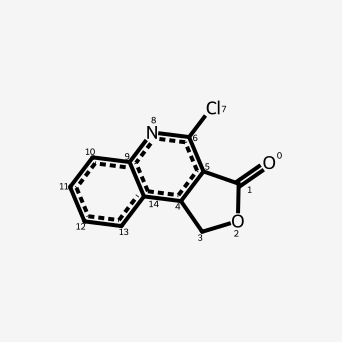 O=C1OCc2c1c(Cl)nc1ccccc21